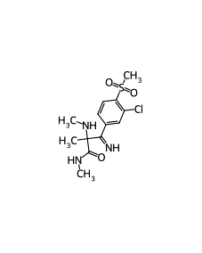 CNC(=O)C(C)(NC)C(=N)c1ccc(S(C)(=O)=O)c(Cl)c1